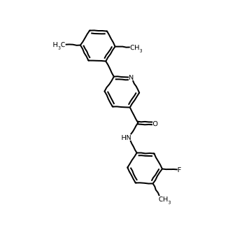 Cc1ccc(C)c(-c2ccc(C(=O)Nc3ccc(C)c(F)c3)cn2)c1